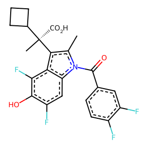 Cc1c([C@](C)(C(=O)O)C2CCC2)c2c(F)c(O)c(F)cc2n1C(=O)c1ccc(F)c(F)c1